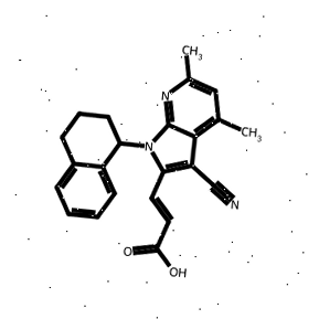 Cc1cc(C)c2c(C#N)c(C=CC(=O)O)n(C3CCCc4ccccc43)c2n1